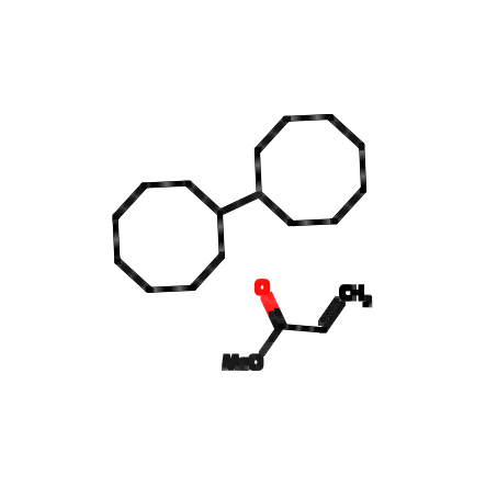 C1CCCC(C2CCCCCCC2)CCC1.C=CC(=O)OC